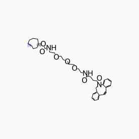 O=C(CCC(=O)N1Cc2ccccc2C#Cc2ccccc21)NCCOCCOCCOCCNC(=O)O[C@@H]1CC/C=C/CCC1